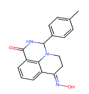 Cc1ccc(C2NC(=O)c3cccc4c3N2CCC4=NO)cc1